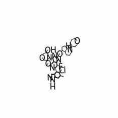 COc1nc(-c2c(Cl)c(C)cc3[nH]ncc23)c(F)c2nc(OC[C@]34CCC[C@H]3N(C3CCCOCC3)CCC4)nc(N3CCOC[C@@](C)(O)C3)c12